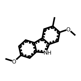 COc1ccc2c(c1)[nH]c1cc(OC)c(C)cc12